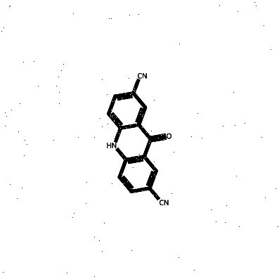 N#Cc1ccc2[nH]c3ccc(C#N)cc3c(=O)c2c1